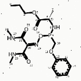 CCCOC(=O)[C@H](C)NP(COc1ccccc1)ON=C(C(=O)NC)C(=O)NC